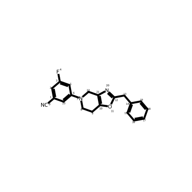 N#Cc1cc(F)cc(N2CCc3oc(Cc4ccccc4)nc3C2)c1